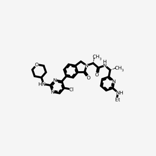 CCNc1cccc([C@@H](C)NC(=O)[C@@H](C)N2Cc3ccc(-c4nc(NC5CCOCC5)ncc4Cl)cc3C2=O)n1